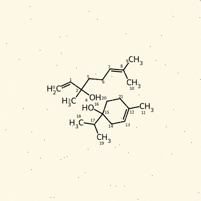 C=CC(C)(O)CCC=C(C)C.CC1=CCC(O)(C(C)C)CC1